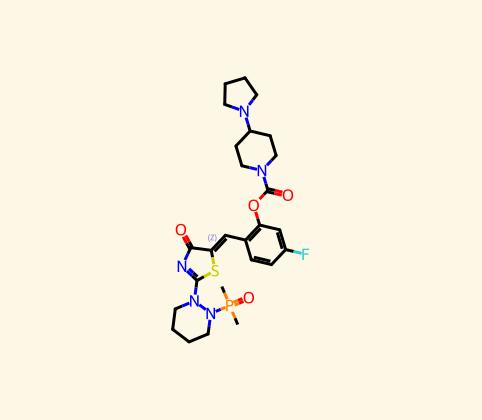 CP(C)(=O)N1CCCCN1C1=NC(=O)/C(=C/c2ccc(F)cc2OC(=O)N2CCC(N3CCCC3)CC2)S1